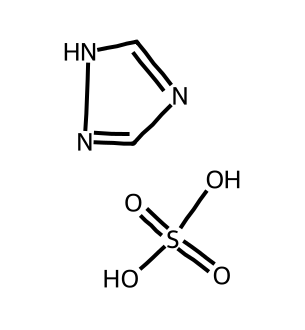 O=S(=O)(O)O.c1nc[nH]n1